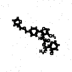 Cc1noc(-c2ccc(COCc3ccco3)cc2)c1NC(=O)OC(C)c1ccccc1Cl